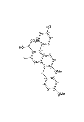 CCOC(=O)C(O)c1c(C)cc2c(Cc3ccc(OC)cc3)c(OC)ccc2c1-c1ccc(Cl)cc1